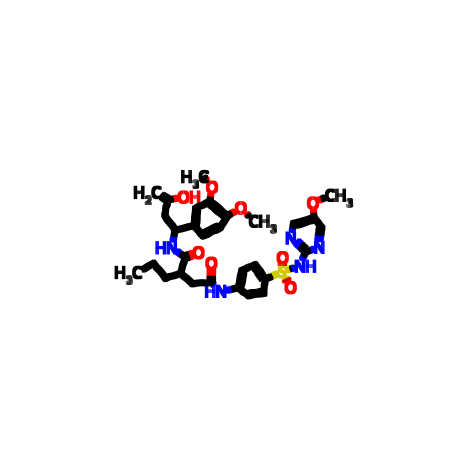 C=C(O)CC(NC(=O)C(CCC)CC(=O)Nc1ccc(S(=O)(=O)Nc2ncc(OC)cn2)cc1)c1ccc(OC)c(OC)c1